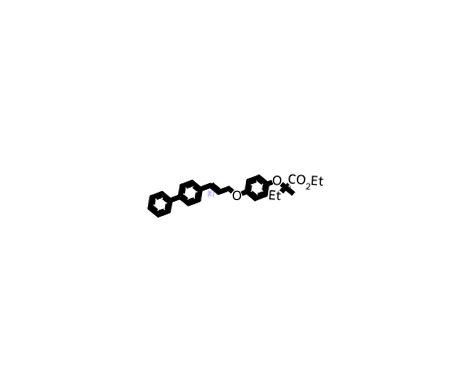 CCOC(=O)[C@@](C)(CC)Oc1ccc(OC/C=C/c2ccc(-c3ccccc3)cc2)cc1